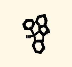 Cc1nc2ccccn2c1C(O)(c1ccccc1)c1ccccc1